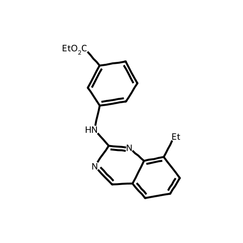 CCOC(=O)c1cccc(Nc2ncc3cccc(CC)c3n2)c1